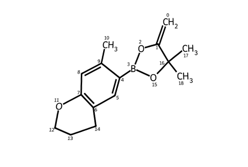 C=C1OB(c2cc3c(cc2C)OCCC3)OC1(C)C